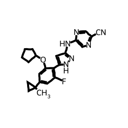 CC1(c2cc(F)c(-c3cc(Nc4cnc(C#N)cn4)n[nH]3)c(OC3CCCC3)c2)CC1